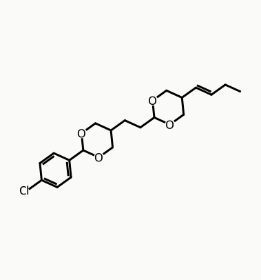 CCC=CC1COC(CCC2COC(c3ccc(Cl)cc3)OC2)OC1